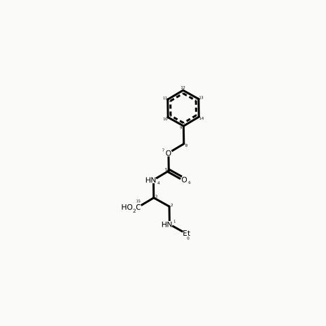 CCNCC(NC(=O)OCc1ccccc1)C(=O)O